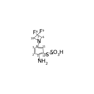 Nc1ccc(N2CC(F)(F)C2)cc1SS(=O)(=O)O